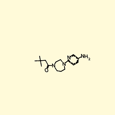 CC(C)(C)CC(=O)N1CCCN(c2ccc(N)cn2)CC1